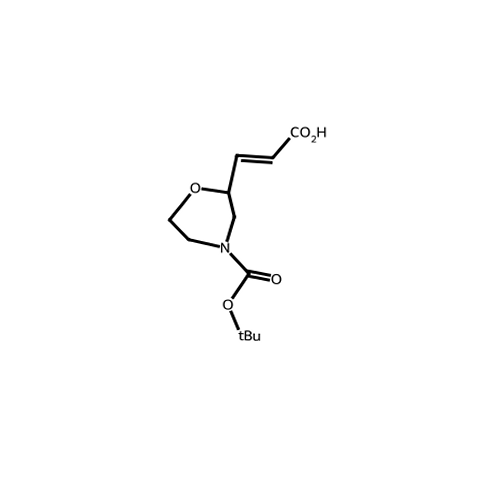 CC(C)(C)OC(=O)N1CCOC(/C=C/C(=O)O)C1